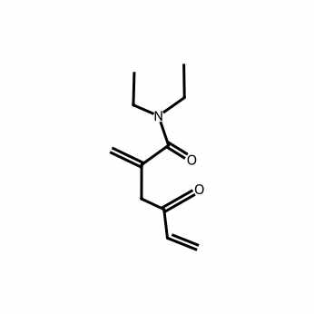 C=CC(=O)CC(=C)C(=O)N(CC)CC